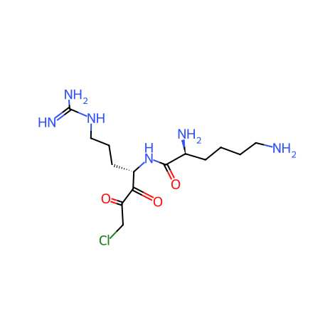 N=C(N)NCCC[C@H](NC(=O)[C@@H](N)CCCCN)C(=O)C(=O)CCl